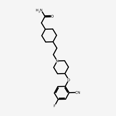 N#Cc1cc(F)ccc1OC1CCN(CCC2CCC(CC(N)=O)CC2)CC1